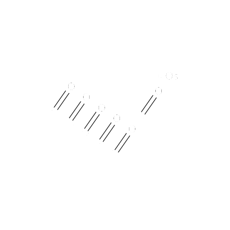 [C]=O.[C]=O.[C]=O.[C]=O.[C]=O.[C]=O.[Os]